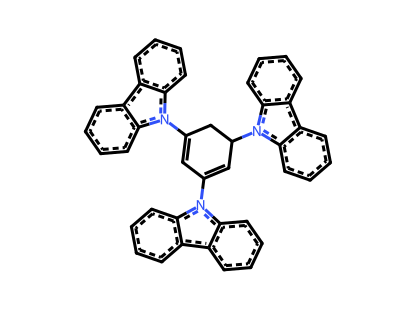 C1=C(n2c3ccccc3c3ccccc32)C=C(n2c3ccccc3c3ccccc32)CC1n1c2ccccc2c2ccccc21